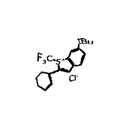 CC(C)(C)c1ccc2cc(C3CCCCC3)[s+](C(F)(F)F)c2c1.[Cl-]